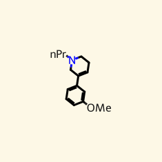 CCCN1CCC=C(c2cccc(OC)c2)C1